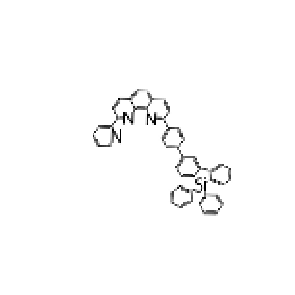 c1ccc([Si]2(c3ccccc3)c3ccccc3-c3cc(-c4ccc(-c5ccc6ccc7ccc(-c8ccccn8)nc7c6n5)cc4)ccc32)cc1